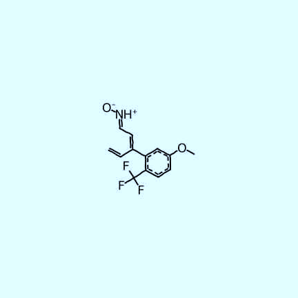 C=C/C(=C\C=[NH+]\[O-])c1cc(OC)ccc1C(F)(F)F